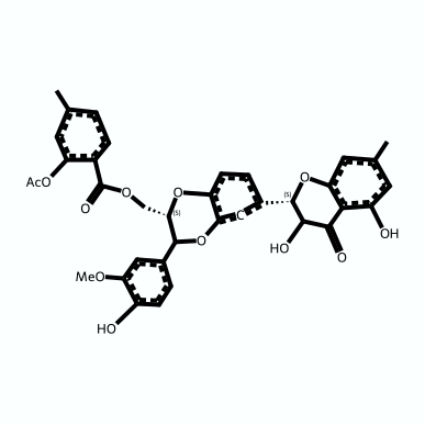 COc1cc(C2Oc3cc([C@@H]4Oc5cc(C)cc(O)c5C(=O)C4O)ccc3O[C@H]2COC(=O)c2ccc(C)cc2OC(C)=O)ccc1O